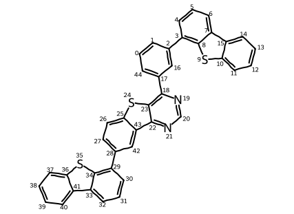 c1cc(-c2cccc3c2sc2ccccc23)cc(-c2ncnc3c2sc2ccc(-c4cccc5c4sc4ccccc45)cc23)c1